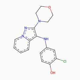 Oc1ccc(Nc2c(N3CCOCC3)nn3ccccc23)cc1Cl